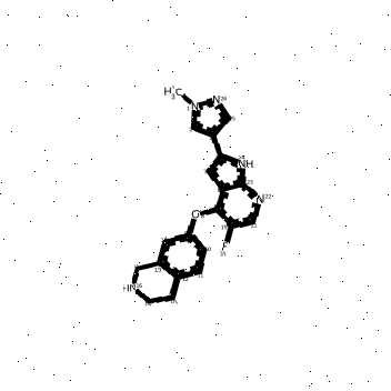 Cn1cc(-c2cc3c(Oc4ccc5c(c4)CNCC5)c(F)cnc3[nH]2)cn1